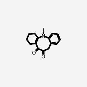 O=C1Cc2ccccc2N(I)C2=C(CCCC2)C1=O